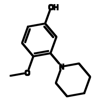 COc1ccc(O)cc1N1CCCCC1